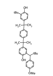 COc1ccc(C(c2cc(C(C)(C)c3ccc(C(C)(C)c4ccc(O)c(C(C)(C)C)c4)cc3)ccc2O)C(C)(C)C)cc1